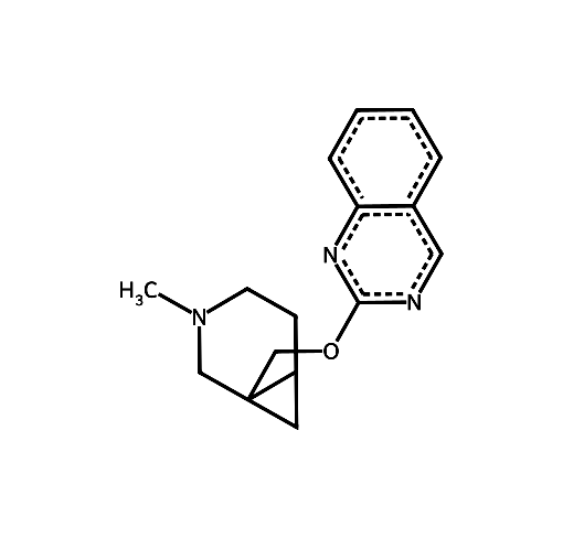 CN1CCC2CC2(COc2ncc3ccccc3n2)C1